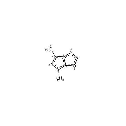 Cc1nn(C)c2ncoc12